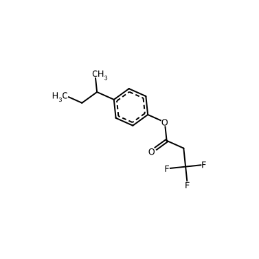 CCC(C)c1ccc(OC(=O)CC(F)(F)F)cc1